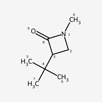 CN1CC(C(C)(C)C)C1=O